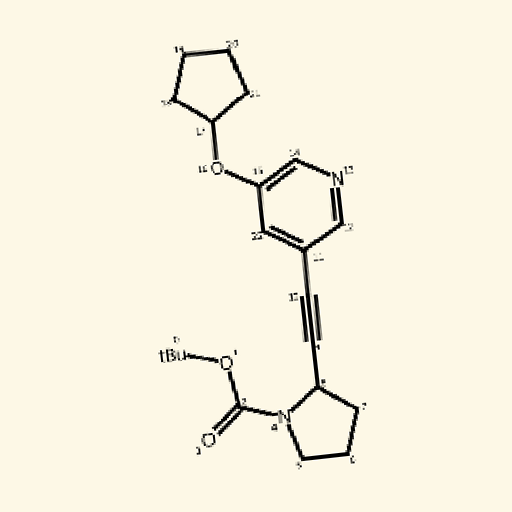 CC(C)(C)OC(=O)N1CCCC1C#Cc1cncc(OC2CCCC2)c1